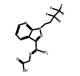 NC(=NCC(=O)O)c1nn(CCC(F)(F)C(F)(F)F)c2ncccc12